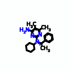 Cc1nc(N(C2CCCCC2)[C@@H](C)c2ccccc2)nc(N)c1C